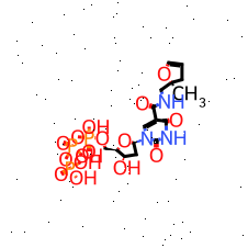 C[C@]1(CNC(=O)c2cn([C@H]3C[C@H](O)[C@@H](COP(=O)(O)OP(=O)(O)OP(=O)(O)O)O3)c(=O)[nH]c2=O)CC=CO1